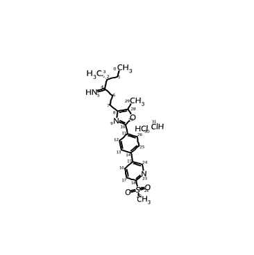 CC[C@@H](C)C(=N)CCc1nc(-c2ccc(-c3ccc(S(C)(=O)=O)nc3)cc2)oc1C.Cl.Cl